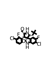 CC(C)(C)C[C@H]1N[C@@H](C=O)[C@H](c2cccc(Cl)c2F)[C@@]12C(=O)Nc1cc(Cl)c(F)cc12